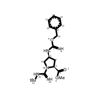 COC(=O)[C@@H]1C[C@H](NC(=N)OCc2ccccc2)CN1C(=N)NC(C)(C)C